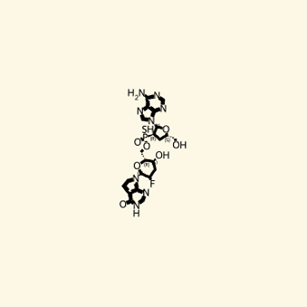 Nc1ncnc2c1ncn2[C@@H]1O[C@H](CO)C[C@H]1P(=O)(S)OC[C@H]1O[C@@H](n2ccc3c(=O)[nH]cnc32)C(F)C[C@@H]1O